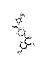 Cc1ccc(C(=O)N2CCN(C(=O)[C@H]3C[C@@H](N)C3)CC2)c(C)c1